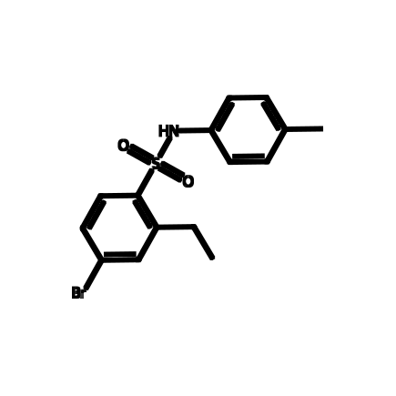 CCc1cc(Br)ccc1S(=O)(=O)Nc1ccc(C)cc1